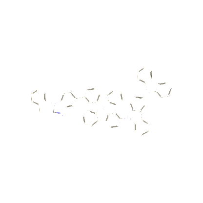 c1ccc([Si](c2ccccc2)(c2cccc(-c3ccc4c(c3)nc3n4-c4ccccc4CS3)c2)c2cccc(-n3c4ccccc4c4cc(-n5c6ccccc6c6ccccc65)ccc43)c2)cc1